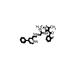 Cc1nn(C)c(NC(=O)CNCCC2CC(c3ccccc3)=CCN2)c1C(=O)c1ccccc1F